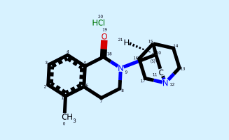 Cc1cccc2c1CCN([C@@H]1CN3CCC1CC3)C2=O.Cl